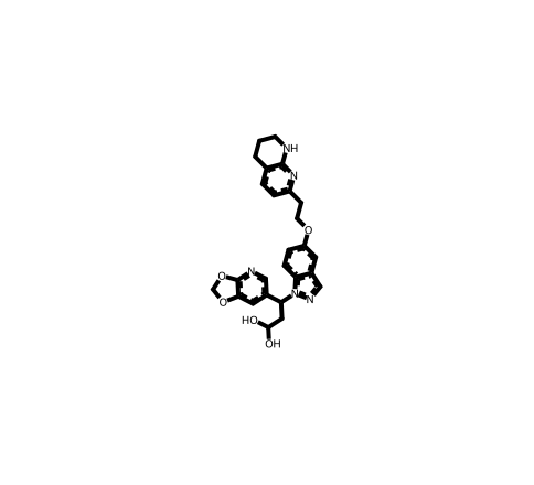 OC(O)CC(c1cnc2c(c1)OCO2)n1ncc2cc(OCCc3ccc4c(n3)NCCC4)ccc21